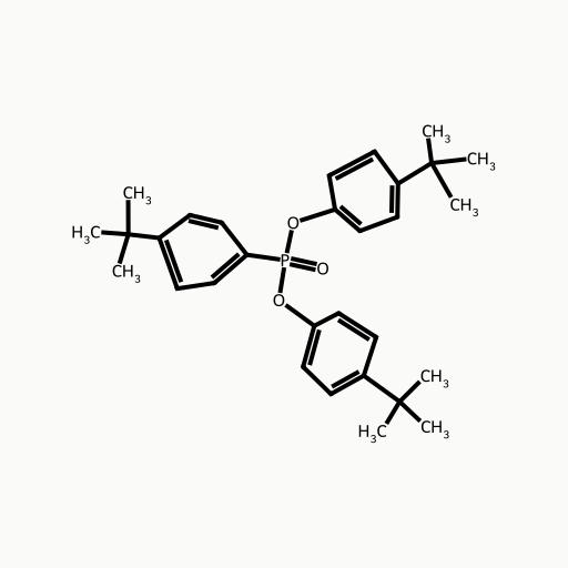 CC(C)(C)c1ccc(OP(=O)(Oc2ccc(C(C)(C)C)cc2)c2ccc(C(C)(C)C)cc2)cc1